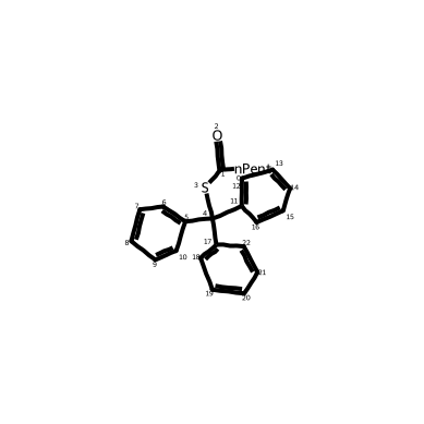 CCCCCC(=O)SC(c1ccccc1)(c1ccccc1)c1ccccc1